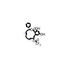 O=C1O[C@@H](c2ccccc2)C/C=C/CC/C=C/C(OC(=O)C(F)(F)F)=C/c2cc(O)cc(O)c21